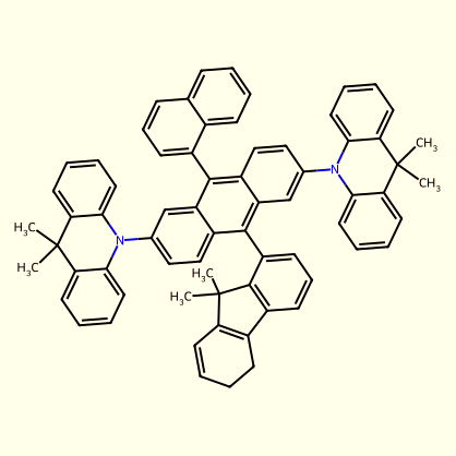 CC1(C)C2=C(CCC=C2)c2cccc(-c3c4cc(N5c6ccccc6C(C)(C)c6ccccc65)ccc4c(-c4cccc5ccccc45)c4cc(N5c6ccccc6C(C)(C)c6ccccc65)ccc34)c21